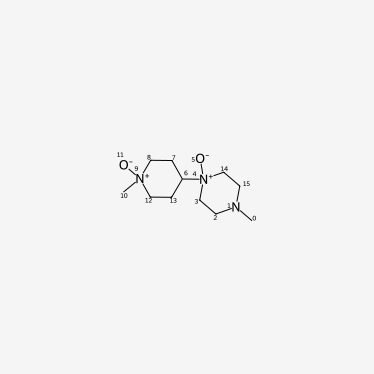 CN1CC[N+]([O-])(C2CC[N+](C)([O-])CC2)CC1